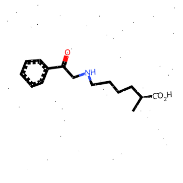 C[C@@H](CCCCNCC(=O)c1ccccc1)C(=O)O